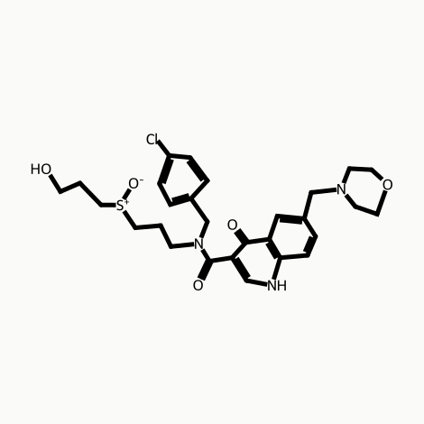 O=C(c1c[nH]c2ccc(CN3CCOCC3)cc2c1=O)N(CCC[S+]([O-])CCCO)Cc1ccc(Cl)cc1